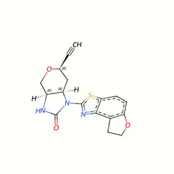 C#C[C@H]1C[C@@H]2[C@H](CO1)NC(=O)N2c1nc2c3c(ccc2s1)OCC3